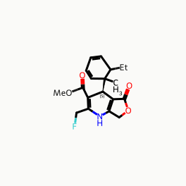 CCC1C=CC=CC1(C)[C@@H]1C(C(=O)OC)=C(CF)NC2=C1C(=O)OC2